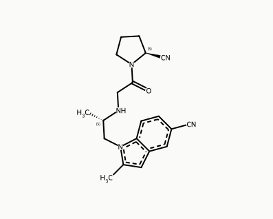 Cc1cc2cc(C#N)ccc2n1C[C@H](C)NCC(=O)N1CCC[C@H]1C#N